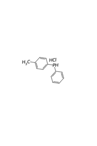 Cc1ccc(Pc2ccccc2)cc1.Cl